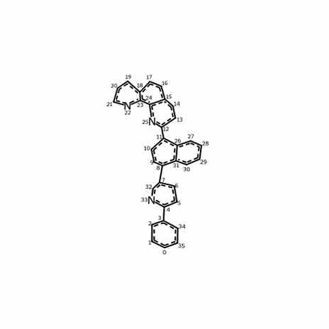 c1ccc(-c2ccc(-c3ccc(-c4ccc5ccc6cccnc6c5n4)c4ccccc34)cn2)cc1